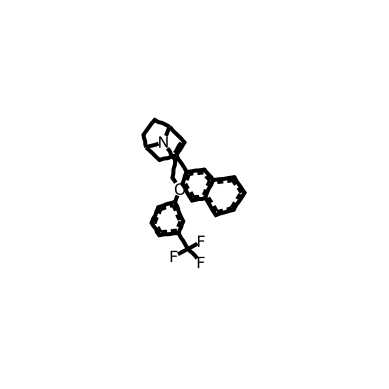 FC(F)(F)c1cccc(OCCN2C3C=C(c4ccc5ccccc5c4)CC2CC3)c1